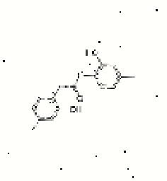 Cc1ccc(CC(=O)Oc2ccc(C)cc2O)c(O)c1